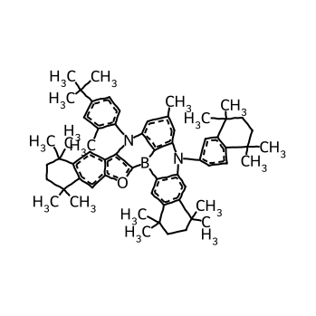 Cc1cc2c3c(c1)N(c1ccc(C(C)(C)C)cc1C)c1c(oc4cc5c(cc14)C(C)(C)CCC5(C)C)B3c1cc3c(cc1N2c1ccc2c(c1)C(C)(C)CCC2(C)C)C(C)(C)CCC3(C)C